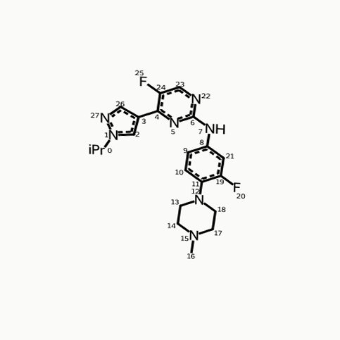 CC(C)n1cc(-c2nc(Nc3ccc(N4CCN(C)CC4)c(F)c3)ncc2F)cn1